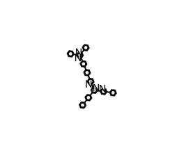 c1ccc(-c2ccc(-c3cc(-c4ccc(-c5ccccc5)cn4)nc(-c4ccc(-c5ccc(-c6ccc(-c7cc(-c8ccccc8)nc(-c8ccccc8)n7)cc6)cc5)cn4)c3)cc2)cc1